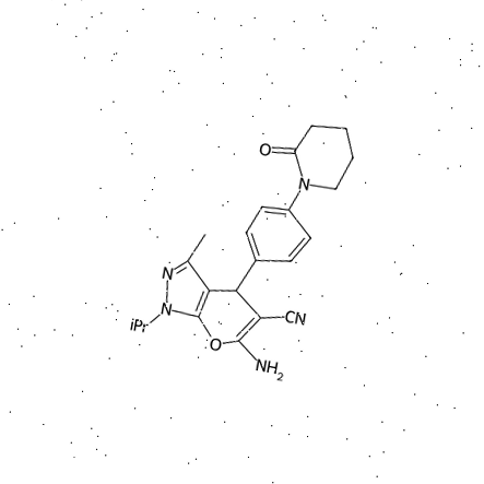 Cc1nn(C(C)C)c2c1C(c1ccc(N3CCCCC3=O)cc1)C(C#N)=C(N)O2